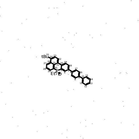 CCP1(=O)c2cc(-c3ccc(-c4ccccc4)cc3)ccc2-c2ccc(C(C)(C)C)c3cccc1c23